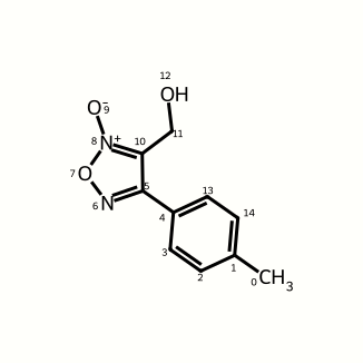 Cc1ccc(-c2no[n+]([O-])c2CO)cc1